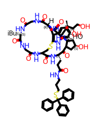 CC[C@H](C)[C@@H]1NC(=O)CNC(=O)[C@H]2Cc3c([nH]c4ccccc34)SCC(NC(=O)CNC1=O)C(=O)N[C@@H](CCC(=O)NCCCSC(c1ccccc1)(c1ccccc1)c1ccccc1)C(=O)C1C[C@H](O)C[C@@]1(C=O)N[C@@H]([C@@H](C)[C@@H](O)CO)C(=O)N2